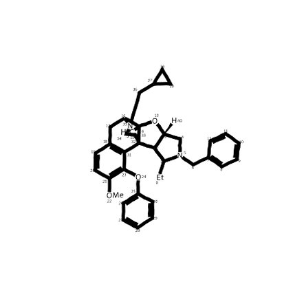 CCC1C2[C@@H](CN1Cc1ccccc1)OC1(C)C3Cc4ccc(OC)c(Oc5ccccc5)c4C21CCN3CC1CC1